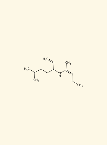 C=CC(CCC(C)C)N/C(C)=C\CC